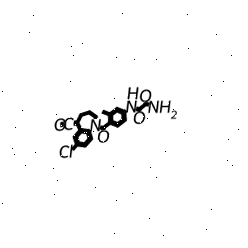 Cc1cc(NC(=O)C(N)=O)ccc1C(=O)N1CCCC(=C=O)c2cc(Cl)ccc21